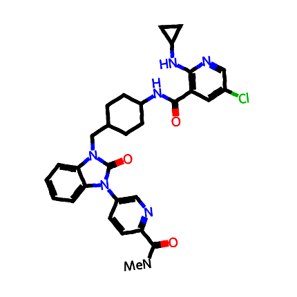 CNC(=O)c1ccc(-n2c(=O)n(CC3CCC(NC(=O)c4cc(Cl)cnc4NC4CC4)CC3)c3ccccc32)cn1